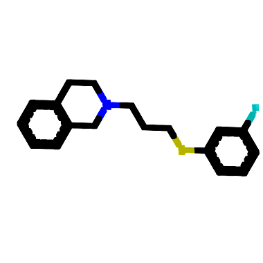 Fc1cccc(SCCCN2CCc3ccccc3C2)c1